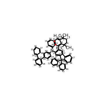 CC1(C)CCC(C)(C)c2c(-c3cc4c(cc3N(c3ccccc3)c3ccc(-c5ccccc5-c5ccccc5)cc3)C(c3ccccc3)(c3ccccc3)c3ccccc3-4)cccc21